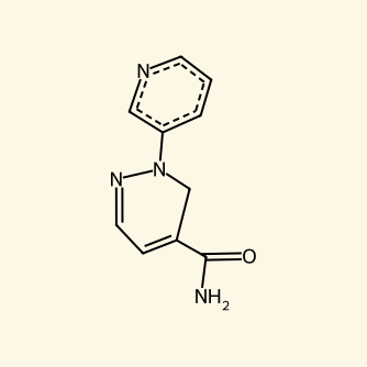 NC(=O)C1=CC=NN(c2cccnc2)C1